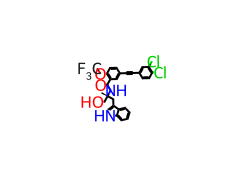 C[C@](CO)(Cc1c[nH]c2ccccc12)NC(=O)c1cc(C#Cc2ccc(Cl)c(Cl)c2)ccc1OC(F)(F)F